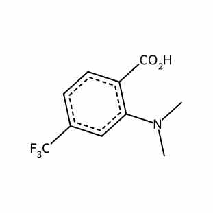 CN(C)c1cc(C(F)(F)F)ccc1C(=O)O